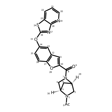 CC(=O)N1C[C@H]2C[C@@H]1CN2C(=O)c1cc2cc(Oc3nc4ncccc4s3)ccc2o1